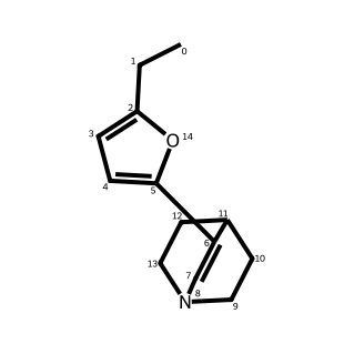 CCc1ccc(C2=CN3CCC2CC3)o1